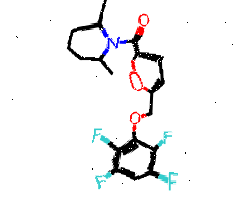 CC1CCCC(C)N1C(=O)c1ccc(COc2c(F)c(F)cc(F)c2F)o1